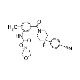 Cc1ccc(C(=O)N2CCC(F)(c3ccc(C#N)cc3)CC2)cc1NC(=O)O[C@@H]1CCOC1